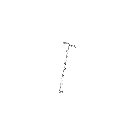 CC(CCOCCOCCOCCOCCCOCCCOCCCO)CC(C)(C)C